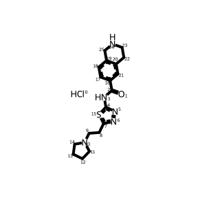 Cl.O=C(Nc1nnc(CCN2CCCC2)s1)c1ccc2c(c1)CCNC2